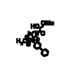 COC[C@@H](O)C(=O)N1CC2(CC2)[C@H](NS(C)(=O)=O)[C@@H]1Cc1cccc(-c2ccccc2)c1